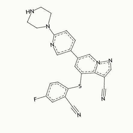 N#Cc1cc(F)ccc1Sc1cc(-c2ccc(N3CCNCC3)nc2)cn2ncc(C#N)c12